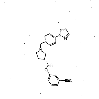 N#Cc1cccc(ON[C@@H]2CCN(Cc3ccc(-n4cccn4)cc3)C2)c1